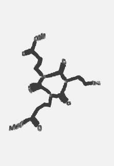 COC(=O)CCn1c(=O)n(CCC#N)c(=O)n(CCC(=O)OC)c1=O